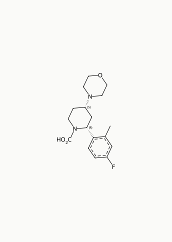 Cc1cc(F)ccc1[C@H]1C[C@@H](N2CCOCC2)CCN1C(=O)O